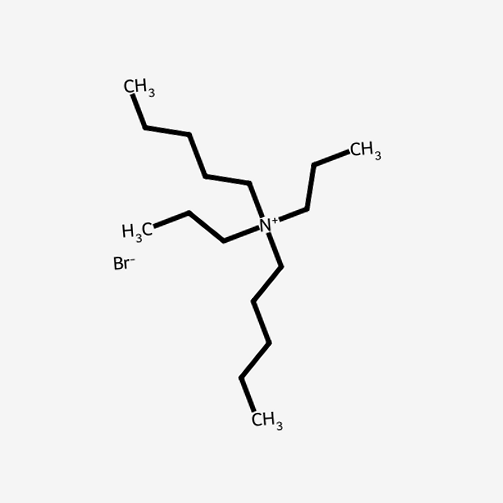 CCCCC[N+](CCC)(CCC)CCCCC.[Br-]